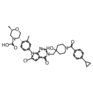 Cc1cc(-n2c(Cl)cc3c(=O)n(CC4(O)CCN(C(=O)c5ccc(C6CC6)cc5)CC4)cnc32)ccc1[C@H]1CO[C@H](C)CN1C(=O)O